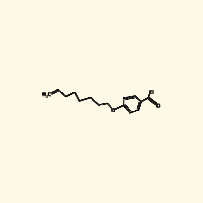 C=CCCCCCCOc1ccc(C(=O)Cl)cc1